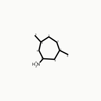 CC1CCC(C)CC(N)C1